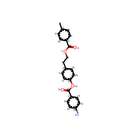 Cc1ccc(C(=O)OCCc2ccc(OC(=O)c3ccc(I)cc3)cc2)cc1